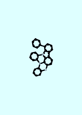 c1ccc(-c2cccc3c4ccc5c6c4n(c23)-c2ccccc2B6c2ccccc2O5)cc1